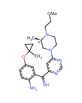 COCCN1CCN(c2cc(C(=N)c3cc(OC4(C)CC4)ccc3N)ncn2)C[C@H]1C